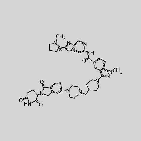 CN1CCC[C@@H]1c1cn2cc(NC(=O)c3ccc4c(c3)c(N3CCC(CN5CCN(c6ccc7c(c6)CN(C6CCC(=O)NC6=O)C7=O)CC5)CC3)nn4C)ncc2n1